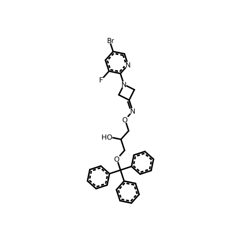 OC(CON=C1CN(c2ncc(Br)cc2F)C1)COC(c1ccccc1)(c1ccccc1)c1ccccc1